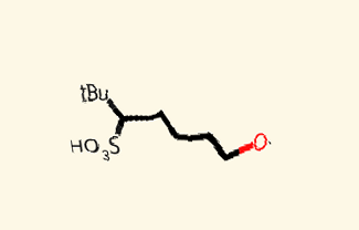 CC(C)(C)C(CCCC[O])S(=O)(=O)O